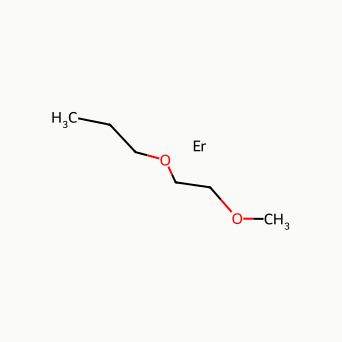 CCCOCCOC.[Er]